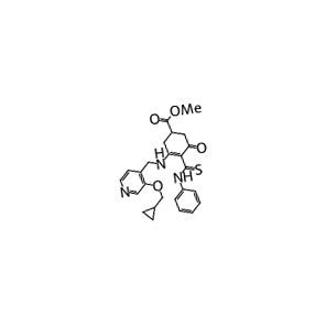 COC(=O)C1CC(=O)C(C(=S)Nc2ccccc2)=C(NCc2ccncc2OCC2CC2)C1